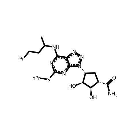 CCCSc1nc(NC(C)CCC(C)C)c2nnn([C@@H]3C[C@H](C(N)=O)[C@@H](O)[C@H]3O)c2n1